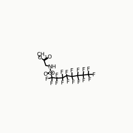 COC(=O)CNS(=O)(=O)C(F)(F)C(F)(F)C(F)(F)C(F)(F)C(F)(F)C(F)(F)C(F)(F)C(F)(F)F